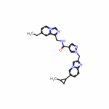 CCc1ccn2cnc(CNC(=O)c3cnn(Cc4cn5cc(C6CC6C)ccc5n4)c3)c2c1